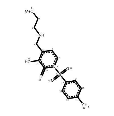 COCCNCc1ccn(S(=O)(=O)c2ccc(C)cc2)c(=O)c1O